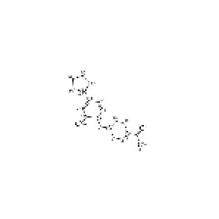 O=C(O)N1CCN(Cc2ccc(N3CCCC3)cc2Cl)CC1